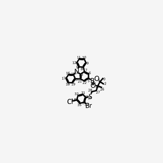 CC1(C)OB(c2cc3c4ccccc4n4c5ccccc5c(c2)c34)OC1(C)CCSc1ccc(Cl)cc1Br